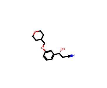 N#CC[C@@H](O)c1cccc(OCC2CCOCC2)c1